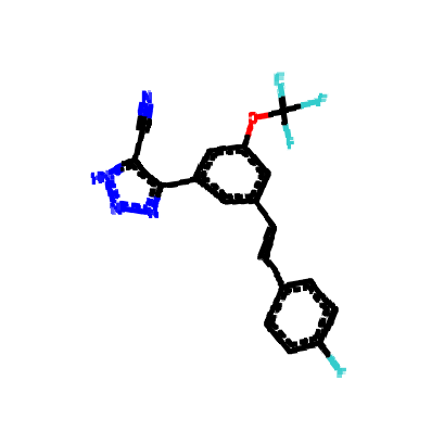 N#Cc1[nH]nnc1-c1cc(C=Cc2ccc(F)cc2)cc(OC(F)(F)F)c1